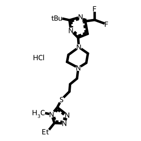 CCc1nnc(SCCCN2CCN(c3cc(C(F)F)nc(C(C)(C)C)n3)CC2)n1C.Cl